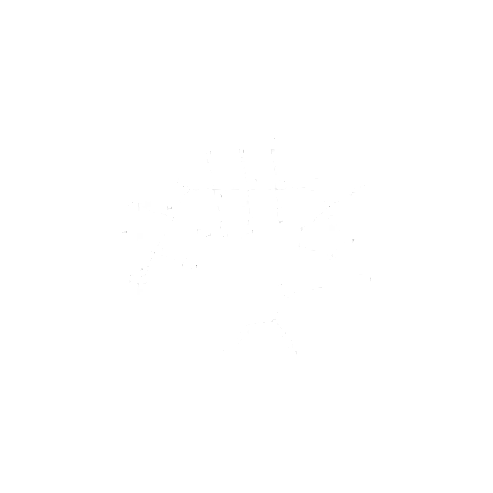 C=CC(=O)OCC(F)(F)OC(F)(F)OC(F)(F)C(F)(F)C(F)(F)OC(F)(F)C(F)(F)C(F)(F)F